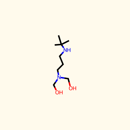 CC(C)(C)NCCCN(CO)CO